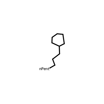 CCCCCCCCC1CCCCC1